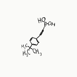 CC(C)(C)c1ccc(C#CB(O)O)cc1